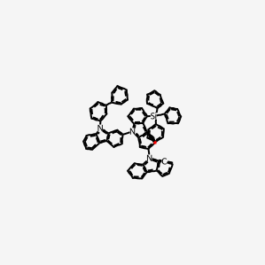 c1ccc(-c2cccc(-n3c4ccccc4c4ccc(-n5c6cc(-n7c8ccccc8c8ccccc87)ccc6c6c([Si](c7ccccc7)(c7ccccc7)c7ccccc7)cccc65)cc43)c2)cc1